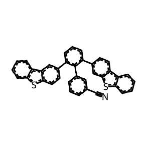 N#Cc1cccc(-c2c(-c3ccc4c(c3)sc3ccccc34)cccc2-c2ccc3sc4ccccc4c3c2)c1